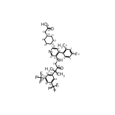 Cc1cc(F)ccc1-c1cc([C@H]2CC[C@H](CC(=O)O)CC2)ncc1NCC(=O)C(C)(C)c1cc(C(F)(F)F)cc(C(F)(F)F)c1